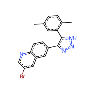 Cc1ccc(C)c(-c2[nH]nnc2-c2ccc3ncc(Br)cc3c2)c1